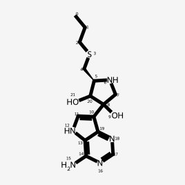 CCCSC[C@H]1NCC(O)(c2c[nH]c3c(N)ncnc23)C1O